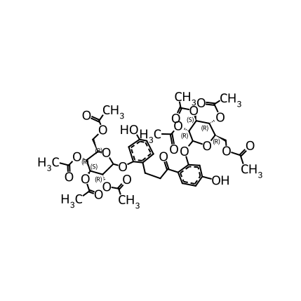 CC(=O)OC[C@H]1OC(Oc2cc(O)ccc2CCC(=O)c2ccc(O)cc2OC2O[C@H](COC(C)=O)[C@@H](OC(C)=O)[C@H](OC(C)=O)[C@H]2OC(C)=O)[C@H](OC(C)=O)[C@@H](OC(C)=O)[C@@H]1OC(C)=O